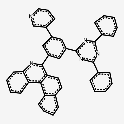 c1ccc(-c2nc(-c3ccccc3)nc(-c3cc(-c4cccnc4)cc(-c4nc5ccccc5c5c4ccc4ccccc45)c3)n2)cc1